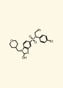 CCc1ccc(N(CC(C)C)S(=O)(=O)c2ccc3c(c2)SC(O)N3CC2CCOCC2)cc1